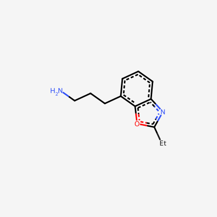 CCc1nc2cccc(CCCN)c2o1